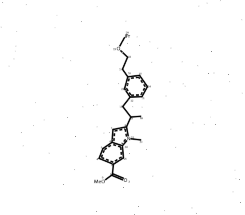 COC(=O)c1ccc2cc(C(C)Cc3cccc(CCOC(C)C)c3)n(C)c2c1